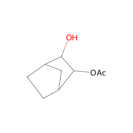 CC(=O)OC1C2CCC(C2)C1O